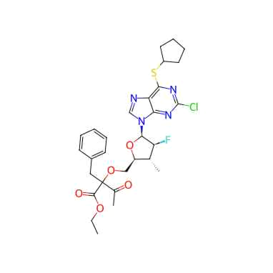 CCOC(=O)C(Cc1ccccc1)(OC[C@H]1O[C@@H](n2cnc3c(SC4CCCC4)nc(Cl)nc32)[C@@H](F)[C@@H]1C)C(C)=O